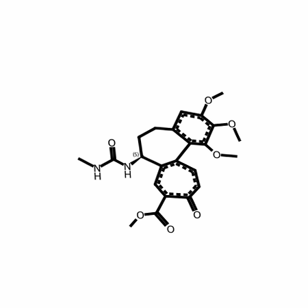 CNC(=O)N[C@H]1CCc2cc(OC)c(OC)c(OC)c2-c2ccc(=O)c(C(=O)OC)cc21